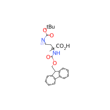 CC(C)(C)OC(=O)/N=C\C[C@](C)(NC(=O)OCC1c2ccccc2-c2ccccc21)C(=O)O